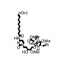 CCCCCCCC/C=C/CCCCCCCC(=O)Nc1ccn(/C=C/[C@@H](O)C(COP(=O)(N[C@@H](CC(C)C)C(=O)OC)N[C@@H](CC(C)C)C(=O)OC)OC)c(=O)n1